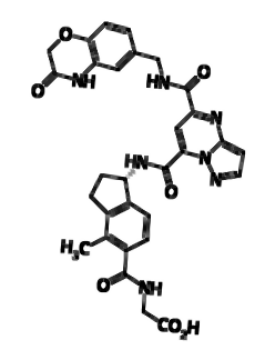 Cc1c(C(=O)NCC(=O)O)ccc2c1CC[C@@H]2NC(=O)c1cc(C(=O)NCc2ccc3c(c2)NC(=O)CO3)nc2ccnn12